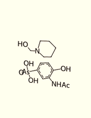 CC(=O)Nc1cc([As](=O)(O)O)ccc1O.OCN1CCCCC1